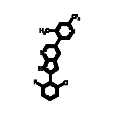 Cc1cc(C(F)(F)F)ncc1-c1cnc2[nH]c(-c3c(F)cccc3Cl)cc2c1